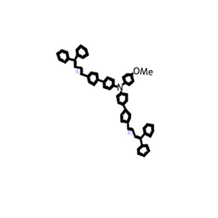 COc1ccc(N(c2ccc(-c3ccc(/C=C/C=C(c4ccccc4)c4ccccc4)cc3)cc2)c2ccc(-c3ccc(/C=C/C=C(c4ccccc4)c4ccccc4)cc3)cc2)cc1